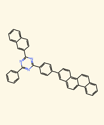 c1ccc(-c2nc(-c3ccc(-c4ccc5c(ccc6c7ccccc7ccc56)c4)cc3)nc(-c3ccc4ccccc4c3)n2)cc1